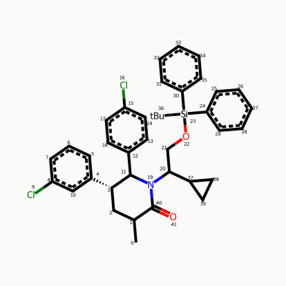 CC1C[C@H](c2cccc(Cl)c2)C(c2ccc(Cl)cc2)N(C(CO[Si](c2ccccc2)(c2ccccc2)C(C)(C)C)C2CC2)C1=O